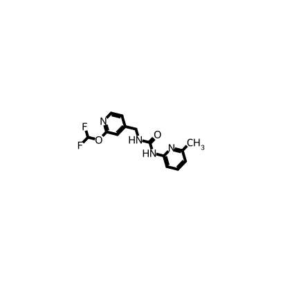 Cc1cccc(NC(=O)NCc2ccnc(OC(F)F)c2)n1